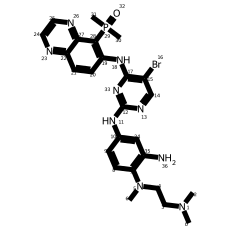 CN(C)CCN(C)c1ccc(Nc2ncc(Br)c(Nc3ccc4nccnc4c3P(C)(C)=O)n2)cc1N